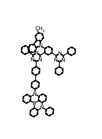 Cc1ccc2c(c1)c1ccccc1n2-c1ccc(-c2nc(-c3ccccc3)nc(-c3ccccc3)n2)cc1-c1nc(-c2ccccc2)nc(-c2ccc(-c3ccc(N4c5ccccc5B5c6ccccc6N(c6ccccc6)c6cccc4c65)cc3)cc2)n1